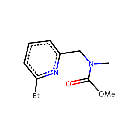 CCc1cccc(CN(C)C(=O)OC)n1